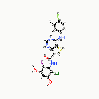 COc1cc(OC)c(I)c(NC(=O)c2csc3c(Nc4ccc(F)c(C)c4)ncnc23)c1Cl